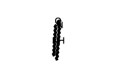 CCCCCCCCCCCCCCCCCCN=C=O.CCCCCCCCNCCCCCCCC